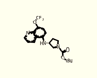 CC(C)(C)OC(=O)N1CC[C@@H](Nc2ccc(OC(F)(F)F)c3ncccc23)C1